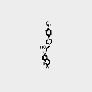 [C-]#[N+]c1ccc(N2CCN(C[C@H](O)COc3ccc4[nH]c(=O)ccc4c3)CC2)cc1